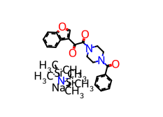 C[Si](C)(C)[N-][Si](C)(C)C.O=C(C(=O)N1CCN(C(=O)c2ccccc2)CC1)c1coc2ccccc12.[Na+]